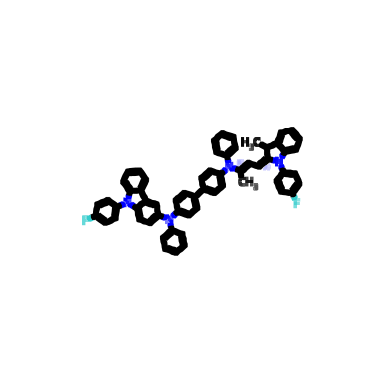 C/C(=C\C=C1/C(C)c2ccccc2N1c1ccc(F)cc1)N(c1ccccc1)c1ccc(-c2ccc(N(c3ccccc3)c3ccc4c(c3)c3ccccc3n4-c3ccc(F)cc3)cc2)cc1